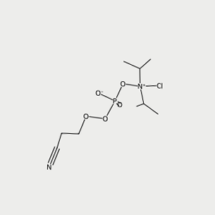 CC(C)[N+](Cl)(OP(=O)([O-])OOCCC#N)C(C)C